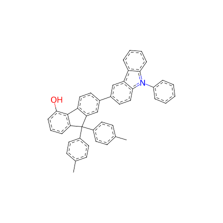 Cc1ccc(C2(c3ccc(C)cc3)c3cc(-c4ccc5c(c4)c4ccccc4n5-c4ccccc4)ccc3-c3c(O)cccc32)cc1